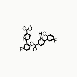 COC(=O)c1ccc(-c2cc(F)ccc2OC(=O)c2ccc(-c3cc(F)ccc3O)nc2)nc1